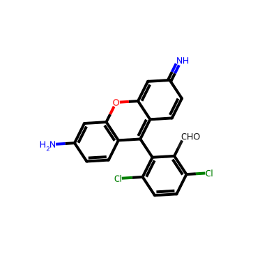 N=c1ccc2c(-c3c(Cl)ccc(Cl)c3C=O)c3ccc(N)cc3oc-2c1